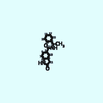 C[C@@H](NC(=O)c1ccc2c(c1)CC(=O)N2)c1ccccc1